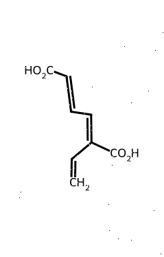 C=CC(=CC=CC(=O)O)C(=O)O